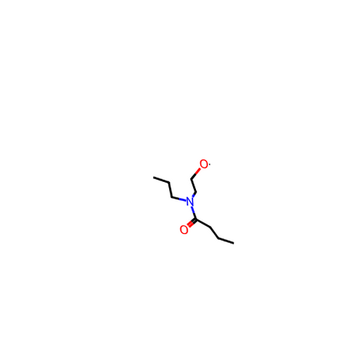 CCCC(=O)N(CCC)CC[O]